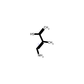 C=C(S)/C(C)=C/N